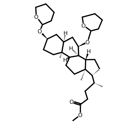 COC(=O)CC[C@@H](C)[C@H]1CC[C@H]2[C@@H]3[C@H](OC4CCCCO4)C[C@@H]4C[C@H](OC5CCCCO5)CC[C@]4(C)[C@H]3CC[C@]12C